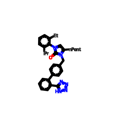 CCCCCc1cn(-c2c(CC)cccc2C(C)C)c(=O)n1Cc1ccc(-c2ccccc2-c2nnn[nH]2)cc1